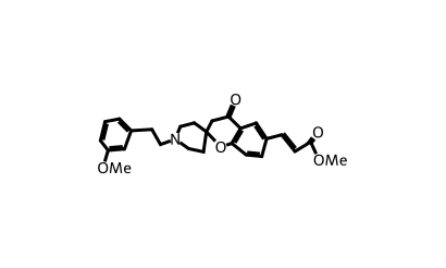 COC(=O)C=Cc1ccc2c(c1)C(=O)CC1(CCN(CCc3cccc(OC)c3)CC1)O2